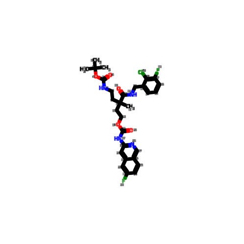 CC(C)(C)OC(=O)NCCC(C)(CCOC(=O)Nc1cc2cc(F)ccc2cn1)C(=O)NCc1cccc(F)c1Cl